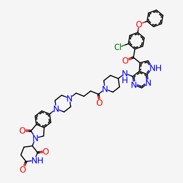 O=C1CCC(N2Cc3cc(N4CCN(CCCC(=O)N5CCC(Nc6ncnc7[nH]cc(C(=O)c8ccc(Oc9ccccc9)cc8Cl)c67)CC5)CC4)ccc3C2=O)C(=O)N1